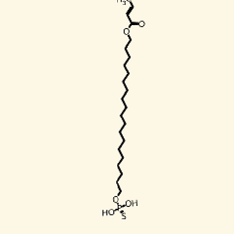 CC=CC(=O)OCCCCCCCCCCCCCCCCCCCOP(O)(O)=S